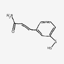 NC(=O)/C=C/c1cccc(SS)c1